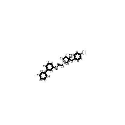 OC1(Cc2ccc(Cl)cc2)CCN(CCOc2cccc(-c3ccccc3)c2)C1